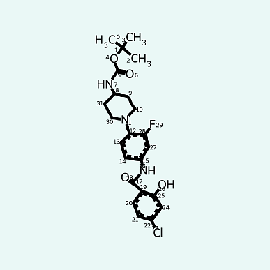 CC(C)(C)OC(=O)NC1CCN(c2ccc(NC(=O)c3ccc(Cl)cc3O)cc2F)CC1